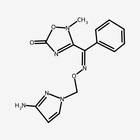 Cn1oc(=O)nc1C(=NOCn1ccc(N)n1)c1ccccc1